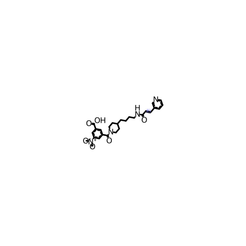 O=C(/C=C/c1cccnc1)NCCCCC1CCN(C(=O)c2cc(C(=O)O)cc([N+](=O)[O-])c2)CC1